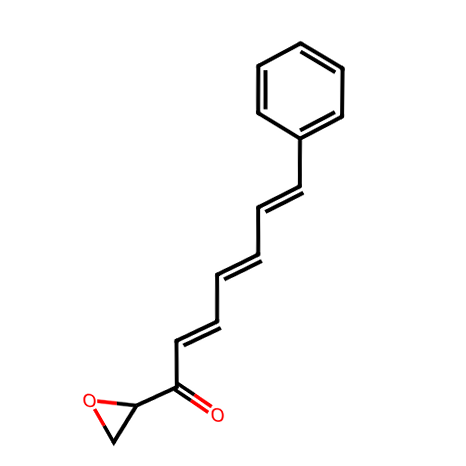 O=C(/C=C/C=C/C=C/c1ccccc1)C1CO1